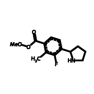 COOC(=O)c1ccc(C2CCCN2)c(F)c1C